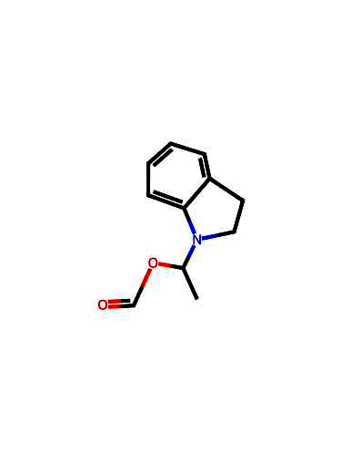 CC(OC=O)N1CCc2ccccc21